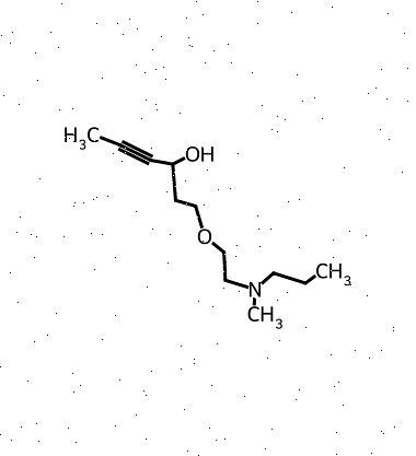 CC#CC(O)CCOCCN(C)CCC